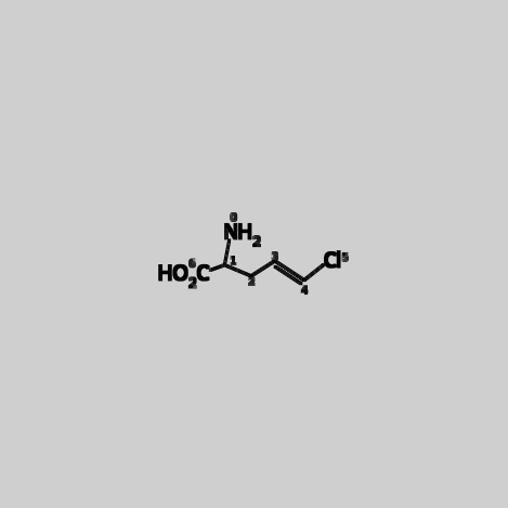 NC(CC=CCl)C(=O)O